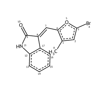 Cc1cc(Br)oc1/C=C1/C(=O)Nc2ccccc21